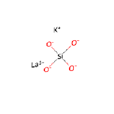 [K+].[La+3].[O-][Si]([O-])([O-])[O-]